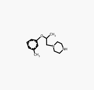 Cc1cccc(OC(C)CN2CCNCC2)c1